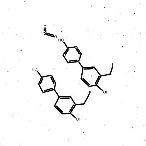 O=S=O.Oc1ccc(-c2ccc(O)c(CF)c2)cc1.Oc1ccc(-c2ccc(O)c(CF)c2)cc1